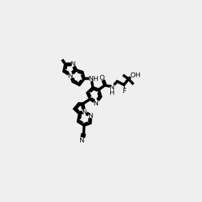 Cc1cn2ccc(Nc3cc(-c4ccc5cc(C#N)cnn45)ncc3C(=O)NC[C@@H](F)C(C)(C)O)cc2n1